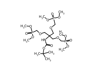 COP(=O)(COCC(COCP(=O)(OC)OC)(COCP(=O)(OC)OC)NC(=O)OC(C)(C)C)OC